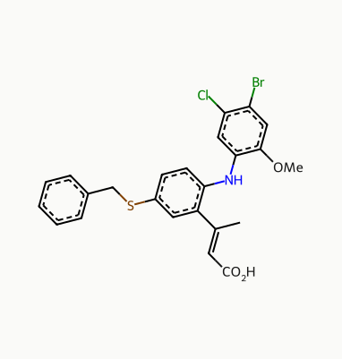 COc1cc(Br)c(Cl)cc1Nc1ccc(SCc2ccccc2)cc1C(C)=CC(=O)O